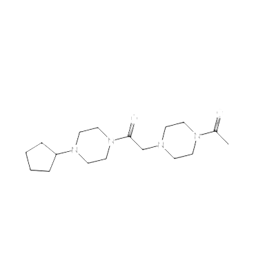 CC(=O)N1CCN(CC(=O)N2CCN(C3CCCC3)CC2)CC1